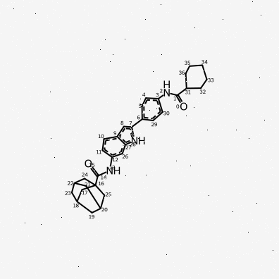 O=C(Nc1ccc(-c2cc3ccc(NC(=O)C45CC6CC(CC(C6)C4)C5)cc3[nH]2)cc1)C1CCCCC1